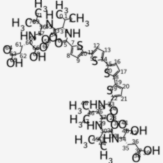 CC(C)[C@H](NC(=O)c1ccc(-c2ccc(-c3ccc(-c4ccc(C(=O)N[C@H](C(=O)N[C@H](C(=O)N[C@@H](CCC(=O)O)C(=O)O)C(C)C)C(C)C)s4)s3)s2)s1)C(=O)N[C@H](C(=O)N[C@@H](CCC(=O)O)C(=O)O)C(C)C